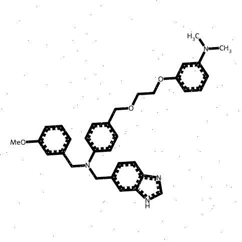 COc1cccc(CN(Cc2ccc3nc[nH]c3c2)c2ccc(COCCOc3cccc(N(C)C)c3)cc2)c1